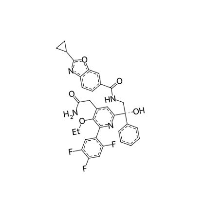 CCOc1c(CC(N)=O)cc([C@@](O)(CNC(=O)c2ccc3nc(C4CC4)oc3c2)c2ccccc2)nc1-c1cc(F)c(F)cc1F